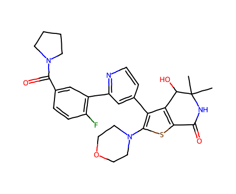 CC1(C)NC(=O)c2sc(N3CCOCC3)c(-c3ccnc(-c4cc(C(=O)N5CCCC5)ccc4F)c3)c2C1O